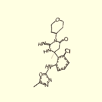 Cc1nnc(Nc2cccc(Cl)c2[C@]2(C)CC(=O)N(C3CCOCC3)C(=N)N2)o1